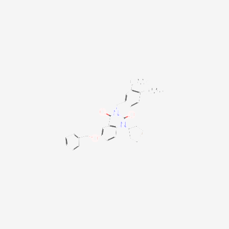 COc1ccc(Cn2c(=O)c3cc(OCc4ccccc4)ccc3n(C3CCSCC3)c2=O)cc1OC